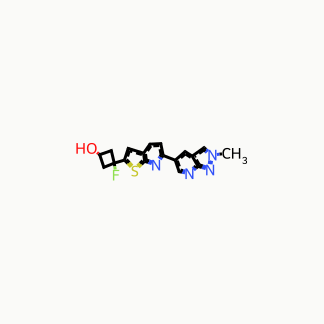 Cn1cc2cc(-c3ccc4cc(C5(F)CC(O)C5)sc4n3)cnc2n1